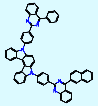 c1ccc(-c2nc(-c3ccc(-n4c5ccccc5c5c6c7ccccc7n(-c7ccc(-c8nc(-c9ccc%10ccccc%10c9)c9ccccc9n8)cc7)c6ccc54)cc3)nc3ccccc23)cc1